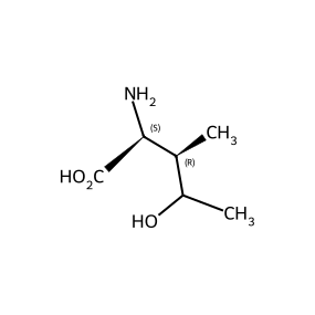 CC(O)[C@H](C)[C@H](N)C(=O)O